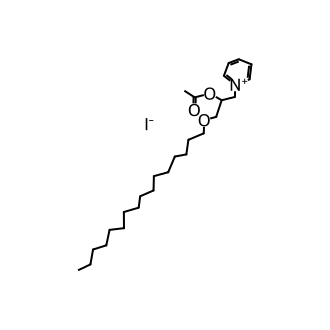 CCCCCCCCCCCCCCCCOCC(C[n+]1ccccc1)OC(C)=O.[I-]